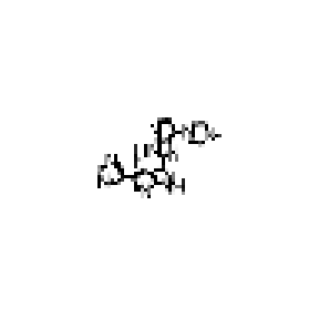 CN1CCN(c2ccnc3[nH]c(-c4n[nH]c5ncc(-c6cncnc6)c(F)c45)nc23)CC1